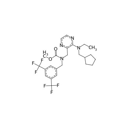 CCN(CC1CCCC1)c1nccnc1CN(Cc1cc(C(F)(F)F)cc(C(F)(F)F)c1)C(=O)OC